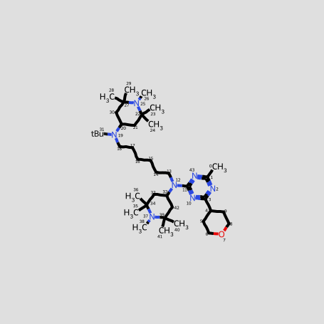 Cc1nc(C2CCOCC2)nc(N(CCCCCCN(C2CC(C)(C)N(C)C(C)(C)C2)C(C)(C)C)C2CC(C)(C)N(C)C(C)(C)C2)n1